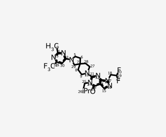 Cc1nc(N2CCC3(CCN(c4nc5c(cnn5CC(F)F)c(=O)n4CC(C)C)CC3)C2)cc(C(F)(F)F)n1